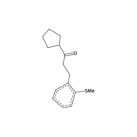 CSc1ccccc1CCC(=O)C1CCCC1